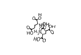 N[C@@H](CC(C(=O)O)C(=O)O)C(=O)O.N[C@H](CCC(=O)O)C(=O)O